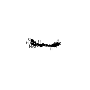 CC1=CSC2C1C(c1ccc(Cl)cc1)=NCc1c(CC(=O)Nc3cccc(OCCOCCOCCNc4ccc5c(=O)n(C6CCC(=O)NC6=O)ncc5c4)c3)nc(C)n12